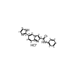 Cl.O=C(Nc1ccccc1)c1cn2cc(-c3ncc[nH]3)ccc2n1